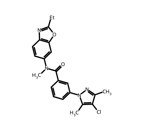 CCc1nc2ccc(N(C)C(=O)c3cccc(-n4nc(C)c(Cl)c4C)c3)cc2o1